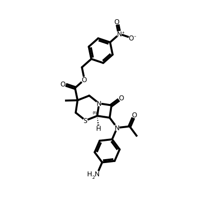 CC(=O)N(c1ccc(N)cc1)C1C(=O)N2CC(C)(C(=O)OCc3ccc([N+](=O)[O-])cc3)CS[C@H]12